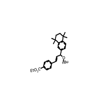 CCCCOC(C=Cc1ccc(C(=O)OCC)cc1)c1ccc2c(c1)C(C)(C)CCC2(C)C